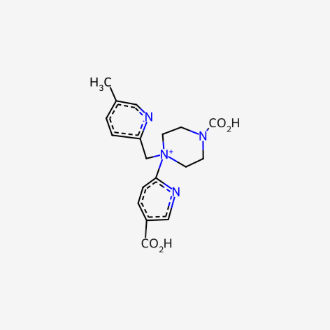 Cc1ccc(C[N+]2(c3ccc(C(=O)O)cn3)CCN(C(=O)O)CC2)nc1